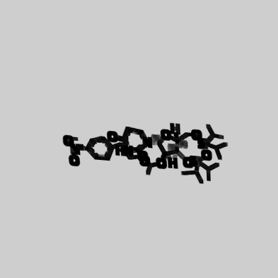 CC(OCCc1ccc([N+](=O)[O-])cc1)O[C@@H]1[C@@H]2O[Si](C(C)C)(C(C)C)O[Si](C(C)C)(C(C)C)OC[C@H]2O[C@H]1n1ccc(=O)[nH]c1=O